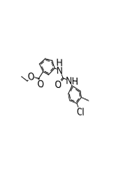 CCOC(=O)c1cccc(NC(=O)Nc2ccc(Cl)c(C)c2)c1